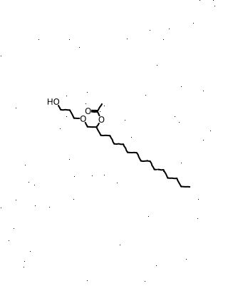 CCCCCCCCCCCCCCC(COCCCO)OC(C)=O